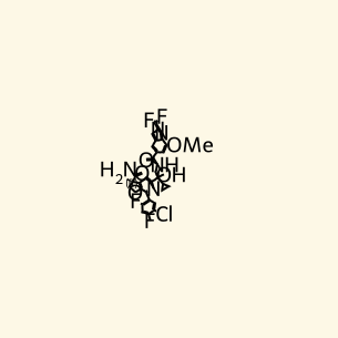 COc1cc(C(=O)NCC(O)(c2cc3c(c(-c4cc(Cl)c(F)cc4F)n2)OC[C@]3(C)C(N)=O)C2CC2)cc2cn(C(F)F)nc12